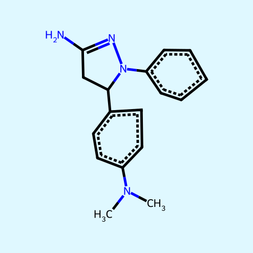 CN(C)c1ccc(C2CC(N)=NN2c2ccccc2)cc1